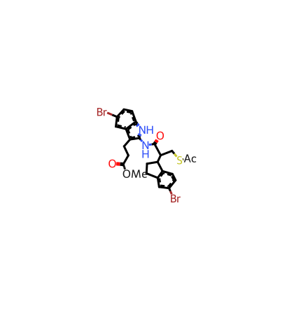 COC(=O)CCc1c(NC(=O)C(CSC(C)=O)C2CCc3cc(Br)ccc32)[nH]c2ccc(Br)cc12